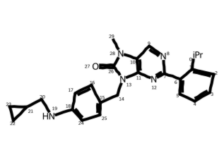 CC(C)c1ccccc1-c1ncc2c(n1)n(Cc1ccc(NCC3CC3)cc1)c(=O)n2C